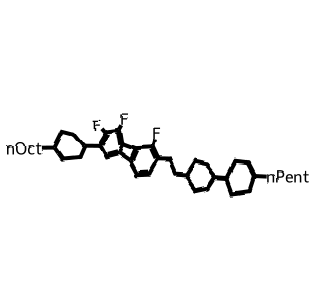 CCCCCCCCC1CCC(c2cc3c(c(F)c2F)-c2c-3ccc(CCC3CCC(C4CCC(CCCCC)CC4)CC3)c2F)CC1